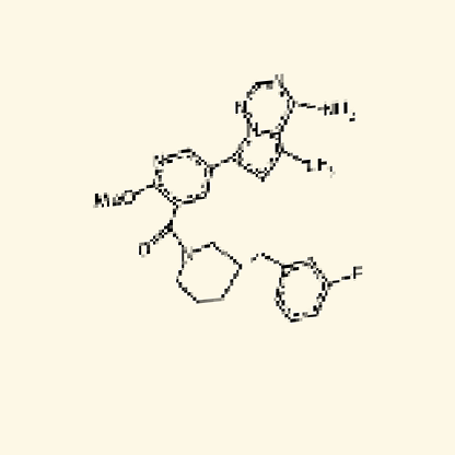 COc1ncc(-c2cc(C(F)(F)F)c3c(N)ncnn23)cc1C(=O)N1CCC[C@@H](Cc2cccc(F)c2)C1